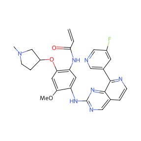 C=CC(=O)Nc1cc(Nc2ncc3ccnc(-c4cncc(F)c4)c3n2)c(OC)cc1OC1CCN(C)C1